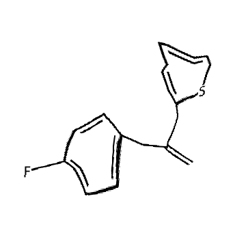 C=C(c1ccc(F)cc1)c1cccs1